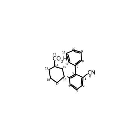 N#Cc1ccccc1-c1ccccc1.O=C(O)C1CCCCC1